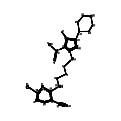 Cc1c([N+](=O)[O-])c(OCCCNc2nc(Cl)ncc2C#N)nn1C1CCOCC1